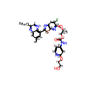 COc1cnc2c(-c3nc4cc(F)c(O[C@@H](C)COC(=O)Nc5ccnc(OCCO)c5)nc4s3)cc(C)cc2n1